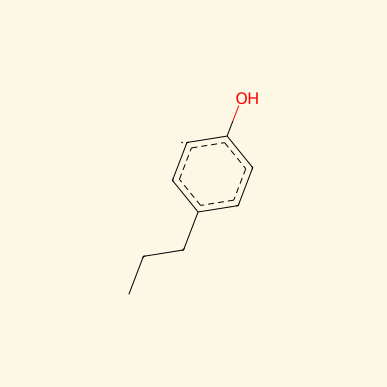 CCCc1c[c]c(O)cc1